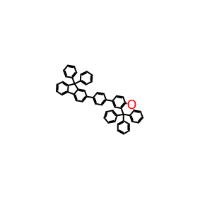 c1ccc(C2(c3ccccc3)c3ccccc3Oc3ccc(-c4ccc(-c5ccc6c(c5)C(c5ccccc5)(c5ccccc5)c5ccccc5-6)cc4)cc32)cc1